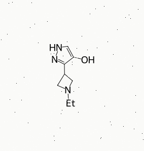 CCN1CC(c2n[nH]cc2O)C1